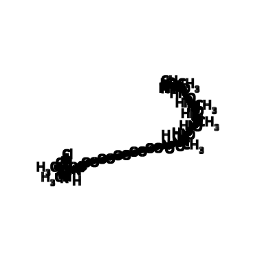 Cc1sc2c(c1C)C(c1ccc(Cl)cc1)=N[C@@H](CC(=O)Nc1ccc(OCCOCCOCCOCCOCCOCCOCCOCCOCCOCCNC(=O)CCNC(=O)c3nc(NC(=O)CCNC(=O)c4cc(NC(=O)c5nc(NC(=O)CCNC(=O)c6cc(NC(=O)c7nccn7C)cn6C)cn5C)cn4C)cn3C)cc1)c1nnc(C)n1-2